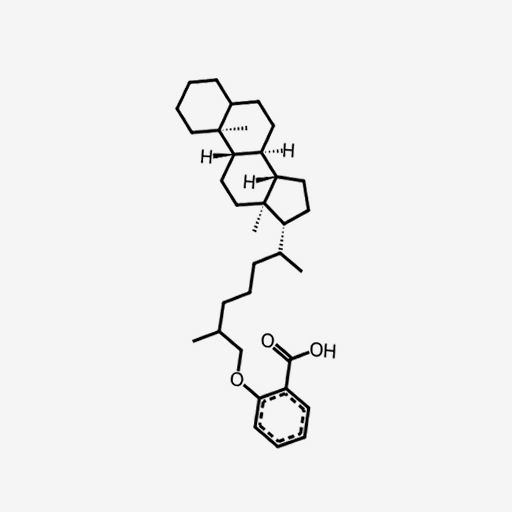 CC(CCCC(C)[C@H]1CC[C@H]2[C@@H]3CCC4CCCC[C@]4(C)[C@H]3CC[C@]12C)COc1ccccc1C(=O)O